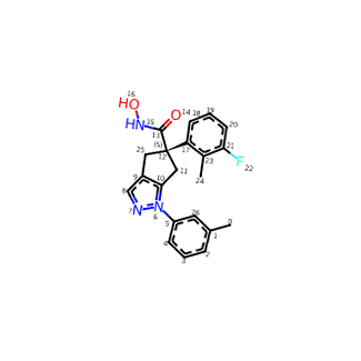 Cc1cccc(-n2ncc3c2C[C@](C(=O)NO)(c2cccc(F)c2C)C3)c1